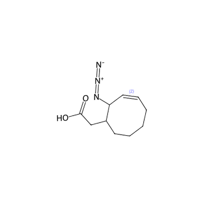 [N-]=[N+]=NC1/C=C\CCCCC1CC(=O)O